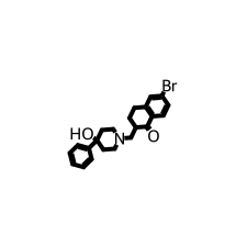 O=C1c2ccc(Br)cc2CCC1CN1CCC(O)(c2ccccc2)CC1